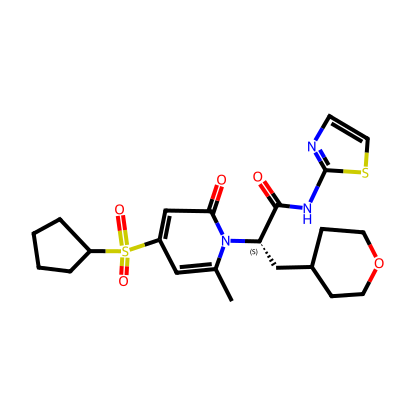 Cc1cc(S(=O)(=O)C2CCCC2)cc(=O)n1[C@@H](CC1CCOCC1)C(=O)Nc1nccs1